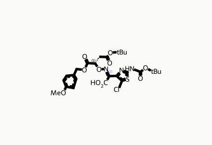 COc1ccc(COC(=O)[C@H](CC(=O)OC(C)(C)C)O/N=C(\C(=O)O)c2nc(NC(=O)OC(C)(C)C)sc2Cl)cc1